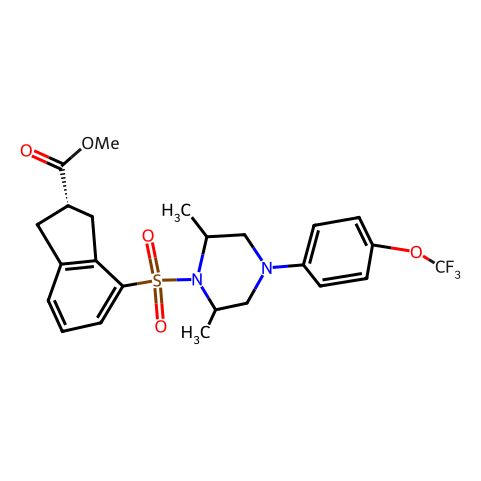 COC(=O)[C@H]1Cc2cccc(S(=O)(=O)N3C(C)CN(c4ccc(OC(F)(F)F)cc4)CC3C)c2C1